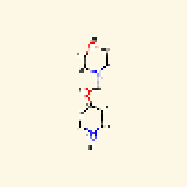 CN1CCC(OCN2CCOCC2)CC1